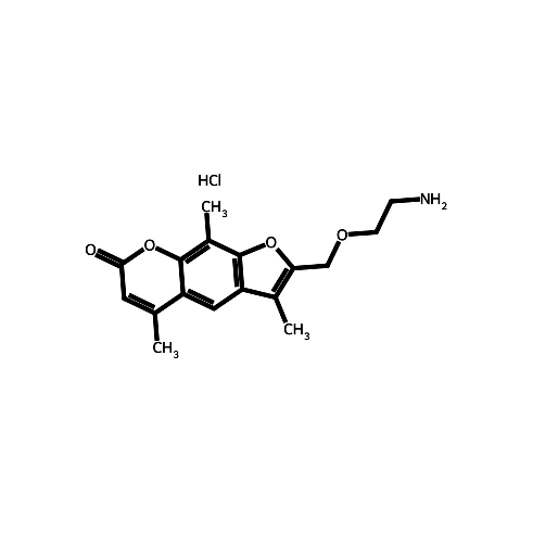 Cc1cc(=O)oc2c(C)c3oc(COCCN)c(C)c3cc12.Cl